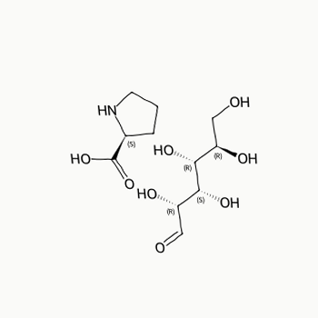 O=C(O)[C@@H]1CCCN1.O=C[C@H](O)[C@@H](O)[C@H](O)[C@H](O)CO